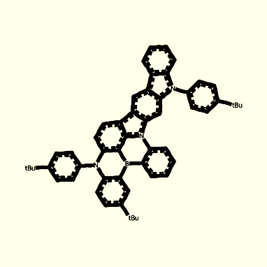 CC(C)(C)c1ccc(N2c3ccc(C(C)(C)C)cc3B3c4ccccc4-n4c5cc6c(cc5c5ccc2c3c54)c2ccccc2n6-c2ccc(C(C)(C)C)cc2)cc1